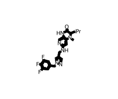 CC(C)C1C(=O)Nc2cnc(NCc3cnn(Cc4cc(F)c(F)c(F)c4)c3)cc2N1C